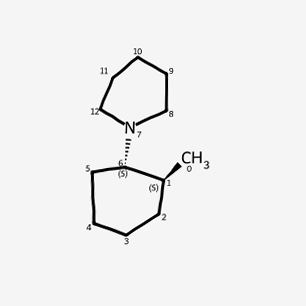 C[C@H]1CCCC[C@@H]1N1CCCCC1